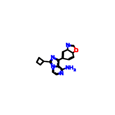 Nc1nccn2c(C3CCC3)nc(C3=CC4N=COC4C=C3)c12